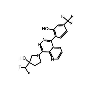 Oc1cc(C(F)(F)F)ccc1-c1nnc(N2CCC(O)(C(F)F)C2)c2ncccc12